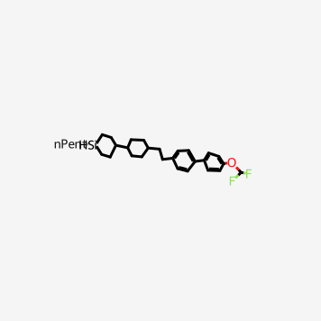 CCCCC[SiH]1CCC(C2CCC(CCc3ccc(-c4ccc(OC(F)F)cc4)cc3)CC2)CC1